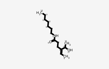 C/C=C(/CCC(=O)NCCCCCCC)C(C)O